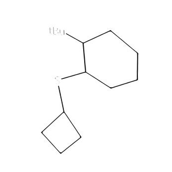 CC(C)(C)C1CCCCC1SC1CCC1